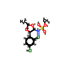 COS(=O)(=O)N[C@@H]1OC(C)O[C@@H]1c1ccc(Cl)cc1Cl